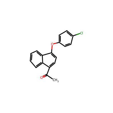 CC(=O)c1ccc(Oc2ccc(Cl)cc2)c2ccccc12